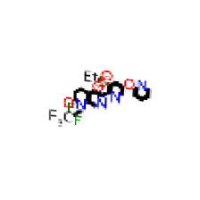 CCS(=O)(=O)c1cc(Oc2ccccn2)cnc1-c1cc2c(cn1)N(CC(F)(F)C(F)(F)F)C(=O)CC2